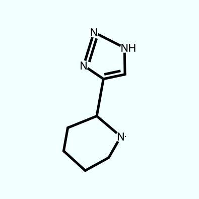 c1[nH]nnc1C1CCCC[N]1